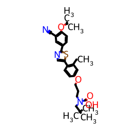 CCc1cc(OCCCN(CC(C)(C)C)C(=O)O)ccc1-c1cnc(-c2ccc(OC(C)C)c(C#N)c2)s1